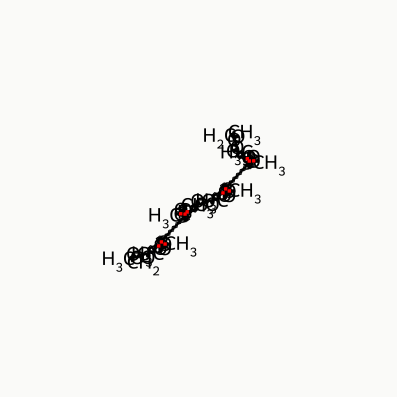 C=C(C)C(=O)OCCOC(=O)c1ccc(CSC2(P(=O)(OCC)OCC)SC3(CCCCCCCCCCC45C=CC(C4)C(SCc4ccc(C(=O)OCCOC(=O)c6ccc(CSC7(P(=O)(OCC)OCC)SC8(CCCCCCCCCCC9%10C=CC(C9)C(SCc9ccc(C(=O)OCCOC(=O)C(=C)C)cc9)(P(=O)(OCC)OCC)S%10)C=CC7C8)cc6)cc4)(P(=O)(OCC)OCC)S5)C=CC2C3)cc1